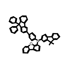 CC1(C)c2ccccc2-c2ccc(N(c3ccc(-c4ccc5c(c4)-c4ccccc4C5(c4ccccc4)c4ccccc4)cc3)c3cccc4c3oc3ccccc34)cc21